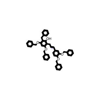 Oc1c(C/C=C/c2ccc(OCc3ccccc3)c(OCc3ccccc3)c2)c(OCc2ccccc2)cc(OCc2ccccc2)c1Cc1ccccc1